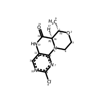 C[C@@H]1OCCN2c3nc(Cl)ncc3NC(=O)[C@@H]12